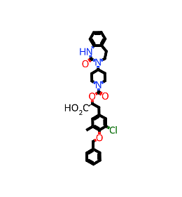 Cc1cc(C[C@@H](OC(=O)N2CCC(N3CCc4ccccc4NC3=O)CC2)C(=O)O)cc(Cl)c1OCc1ccccc1